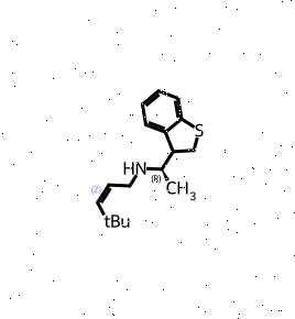 C[C@@H](NC/C=C\C(C)(C)C)C1CSc2ccccc21